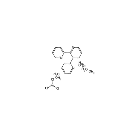 O.O.O.O.O.O.[Cl][Ru]([Cl])[Cl].c1ccc(-c2cccnc2-c2ccccn2)nc1